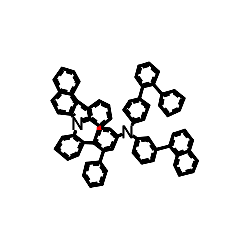 c1ccc(-c2ccccc2-c2ccc(N(c3cccc(-c4cccc5ccccc45)c3)c3ccc(-c4ccccc4-n4c5ccccc5c5c6ccccc6ccc54)c(-c4ccccc4)c3)cc2)cc1